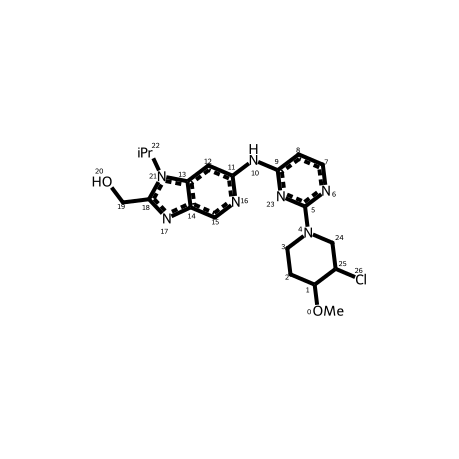 COC1CCN(c2nccc(Nc3cc4c(cn3)nc(CO)n4C(C)C)n2)CC1Cl